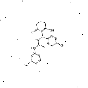 N#Cc1ccc(C(NC(=O)Nc2ccnc(C(F)(F)F)c2)C2=C(O)CCCC2=O)cc1